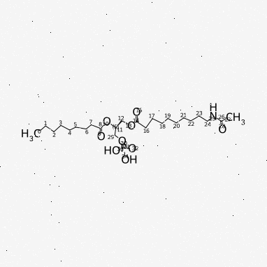 CCCCCCCCC(=O)O[C@@H](COC(=O)CCCCCCCCCNC(C)=O)COP(=O)(O)O